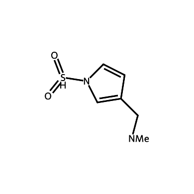 CNCc1ccn([SH](=O)=O)c1